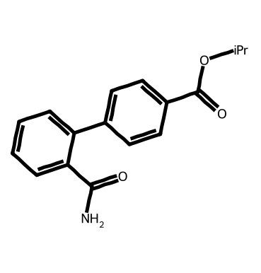 CC(C)OC(=O)c1ccc(-c2ccccc2C(N)=O)cc1